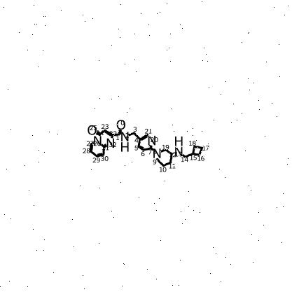 O=C(NCc1ccc(N2CCC[C@@H](NCC3CCC3)C2)nc1)c1cc(=O)n2ccccc2n1